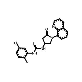 Cc1ccc(Cl)cc1NC(=S)NC1CC(=O)N(c2cccc3cccnc23)C1